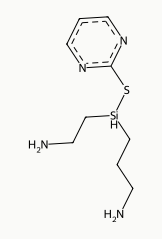 NCCC[SiH](CCN)Sc1ncccn1